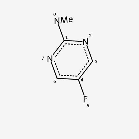 CNc1ncc(F)cn1